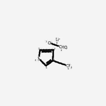 FC(F)(F)c1ccsc1.O=C[O-].[Li+]